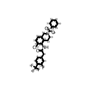 O=C(Cc1ccc(C(F)(F)F)c(F)c1)Nc1c(Cl)ccc2c1CCN(S(=O)(=O)c1ccccc1)C2